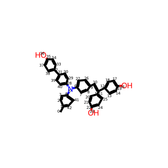 Cc1ccc(N(c2ccc(C=C(c3ccc(O)cc3)c3ccc(O)cc3)cc2)c2ccc(-c3ccc(O)cc3)cc2)cc1